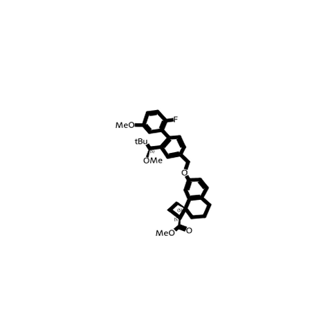 COC(=O)[C@H]1CC[C@@]12CCCc1ccc(OCc3ccc(-c4cc(OC)ccc4F)c([C@@H](OC)C(C)(C)C)c3)cc12